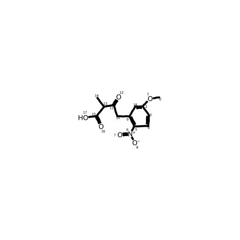 COc1ccc([N+](=O)[O-])c(CC(=O)C(C)C(=O)O)c1